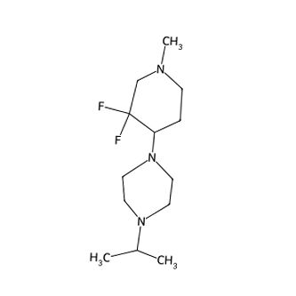 CC(C)N1CCN(C2CCN(C)CC2(F)F)CC1